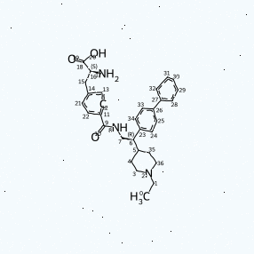 CCN1CCC([C@@H](CNC(=O)c2ccc(C[C@H](N)C(=O)O)cc2)c2ccc(-c3ccccc3)cc2)CC1